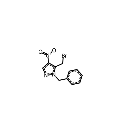 O=[N+]([O-])c1cnn(Cc2ccccc2)c1CBr